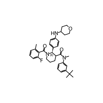 Cc1cccc(F)c1C(=O)N1CCCC(C(=O)N(C)c2cccc(C(C)(C)C)c2)[C@@H]1c1ccc(NC2CCOCC2)cc1